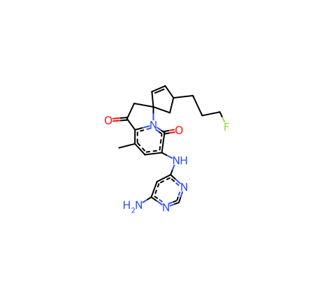 Cc1cc(Nc2cc(N)ncn2)c(=O)n2c1C(=O)CC21C=CC(CCCF)C1